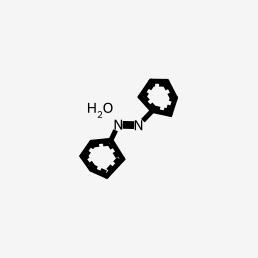 O.c1ccc(/N=N/c2ccccc2)cc1